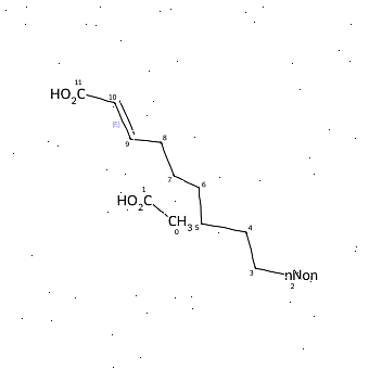 CC(=O)O.CCCCCCCCCCCCCCC/C=C/C(=O)O